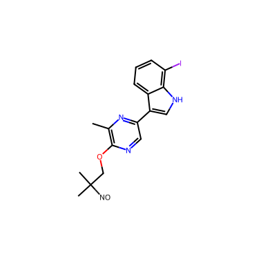 Cc1nc(-c2c[nH]c3c(I)cccc23)cnc1OCC(C)(C)N=O